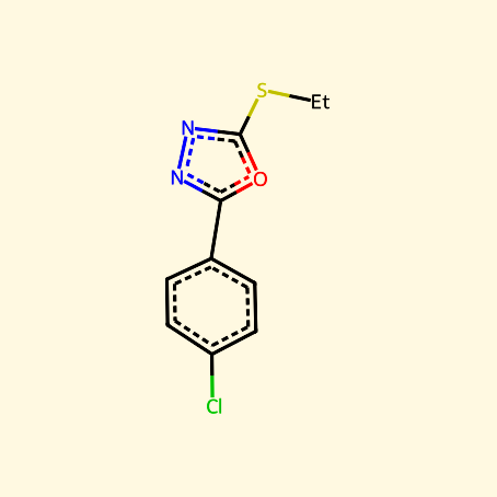 CCSc1nnc(-c2ccc(Cl)cc2)o1